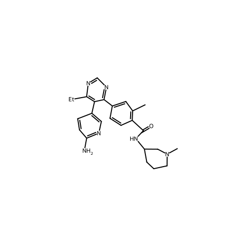 CCc1ncnc(-c2ccc(C(=O)NC3CCCN(C)C3)c(C)c2)c1-c1ccc(N)nc1